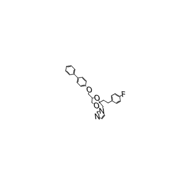 Fc1ccc(CCC2(Cn3ccnc3)OCC(COc3ccc(-c4ccccc4)cc3)O2)cc1